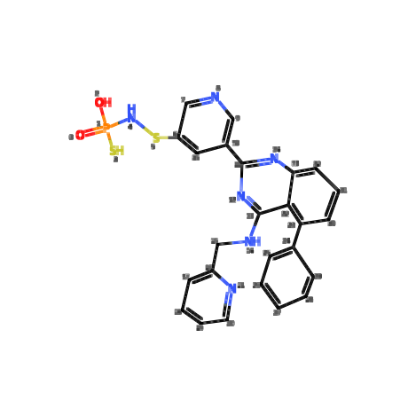 O=P(O)(S)NSc1cncc(-c2nc(NCc3ccccn3)c3c(-c4ccccc4)cccc3n2)c1